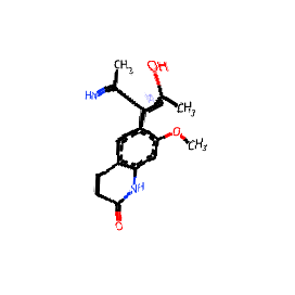 COc1cc2c(cc1/C(C(C)=N)=C(\C)O)CCC(=O)N2